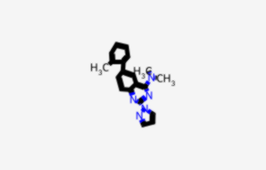 Cc1ccccc1-c1ccc2nc(-n3cccn3)nc(N(C)C)c2c1